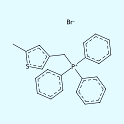 Cc1cc(C[P+](c2ccccc2)(c2ccccc2)c2ccccc2)cs1.[Br-]